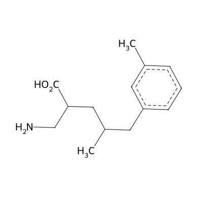 Cc1cccc(CC(C)CC(CN)C(=O)O)c1